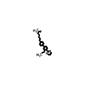 C=CCc1cc(-c2ccc(C=CCCCC(C)F)cc2)ccc1-c1ncccn1